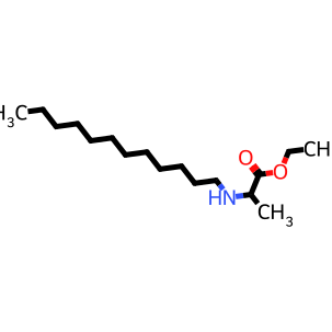 CCCCCCCCCCCCNC(C)C(=O)OCC